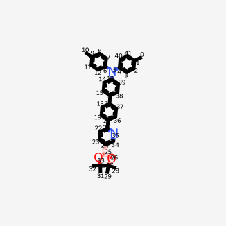 Cc1ccc(N(c2ccc(C)cc2)c2ccc(-c3ccc(-c4ccc(B5OC(C)(C)C(C)(C)O5)cn4)cc3)cc2)cc1